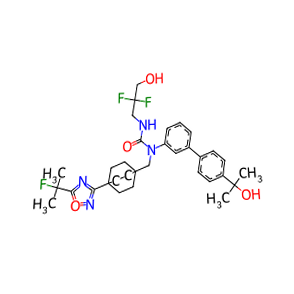 CC(C)(O)c1ccc(-c2cccc(N(CC34CCC(c5noc(C(C)(C)F)n5)(CC3)CC4)C(=O)NCC(F)(F)CO)c2)cc1